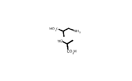 CC(CN)C(=O)O.CC(O)C(=O)O